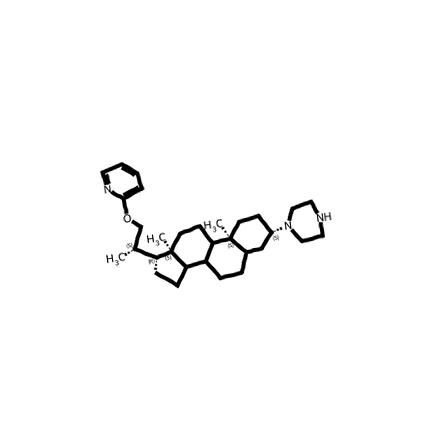 C[C@H](COc1ccccn1)[C@H]1CCC2C3CCC4C[C@@H](N5CCNCC5)CC[C@]4(C)C3CC[C@@]21C